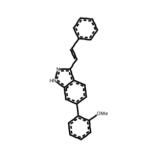 COc1ccccc1-c1ccc2c(/C=C/c3ccccc3)n[nH]c2c1